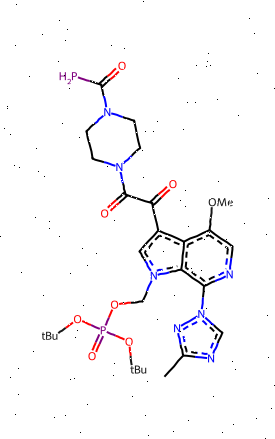 COc1cnc(-n2cnc(C)n2)c2c1c(C(=O)C(=O)N1CCN(C(=O)P)CC1)cn2COP(=O)(OC(C)(C)C)OC(C)(C)C